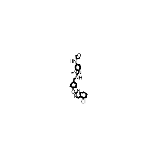 Cn1c(NCc2ccc(Oc3ncc4c(Cl)cccc4n3)cc2)nc2ccc(NC3COC3)cc21